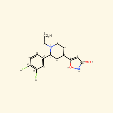 O=C(O)CN1CCC(c2cc(=O)[nH]o2)CC1c1ccc(F)c(F)c1